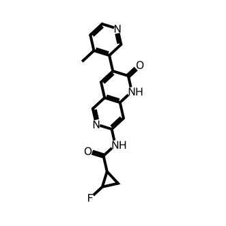 Cc1ccncc1-c1cc2cnc(NC(=O)C3CC3F)cc2[nH]c1=O